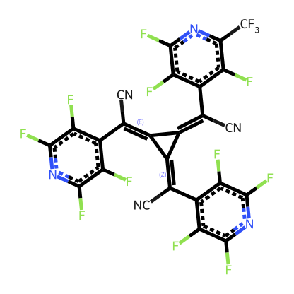 N#CC(=C1C(=C(/C#N)c2c(F)c(F)nc(F)c2F)/C1=C(/C#N)c1c(F)c(F)nc(F)c1F)c1c(F)c(F)nc(C(F)(F)F)c1F